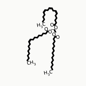 CCCCC/C=C\C/C=C\C/C=C\CCCCC(=O)O[C@@H](COC(=O)CCCCCCC/C=C\CCCCCCCCC)COC(=O)CCCCCCCCCCCCCCC